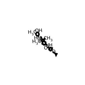 Cc1c(CN[C@H]2CC[C@@](C)(O)CC2)n(C)c2ccc(NC(=O)c3ccc(OCC4CC4)cc3)cc12